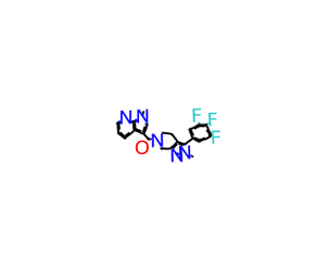 Cn1nc2c(c1-c1cc(F)c(F)c(F)c1)CCN(C(=O)c1cn(C)c3ncccc13)C2